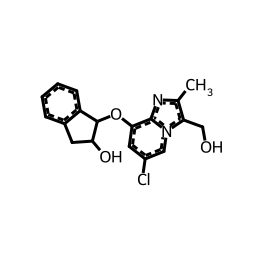 Cc1nc2c(OC3c4ccccc4CC3O)cc(Cl)cn2c1CO